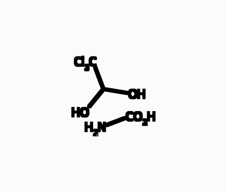 NC(=O)O.OC(O)C(Cl)(Cl)Cl